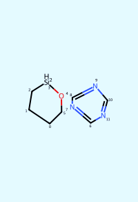 C1CC[SiH2]OC1.c1ncncn1